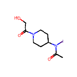 CC(=O)N(I)C1CCN(C(=O)CO)CC1